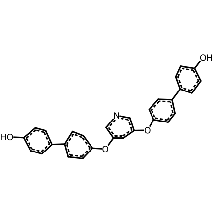 Oc1ccc(-c2ccc(Oc3cncc(Oc4ccc(-c5ccc(O)cc5)cc4)c3)cc2)cc1